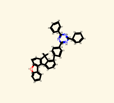 CC1(C)c2ccc3oc4ccccc4c3c2-c2cccc(-c3ccc(-c4nc(-c5ccccc5)nc(-c5ccccc5)n4)cc3)c21